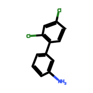 Nc1cccc(-c2c[c]c(Cl)cc2Cl)c1